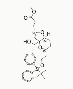 COC(=O)CC[C@H]1CC2(CO)O[C@@H](CCO[Si](c3ccccc3)(c3ccccc3)C(C)(C)C)CC[C@@H]2O1